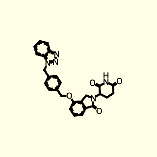 O=C1CCC(N2Cc3c(OCc4ccc(Cn5nnc6ccccc65)cc4)cccc3C2=O)C(=O)N1